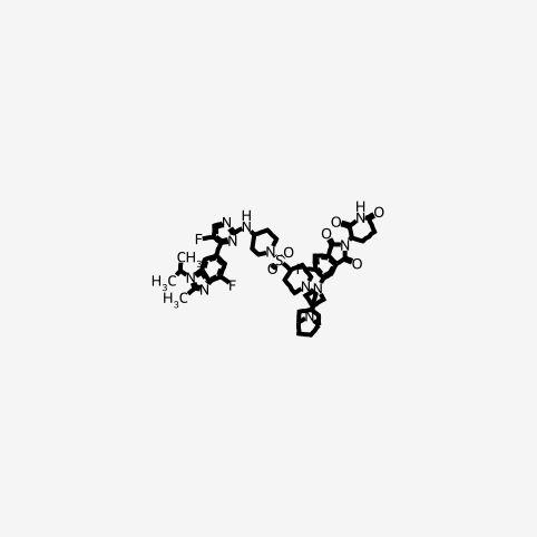 Cc1nc2c(F)cc(-c3nc(NC4CCN(S(=O)(=O)C5CCN(CC6CC7CCC(C6)N7C6CN(c7cc8c(cc7F)C(=O)N(C7CCC(=O)NC7=O)C8=O)C6)CC5)CC4)ncc3F)cc2n1C(C)C